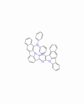 c1ccc(N(c2ccccc2)c2c3ccccc3cc3c4cccc5c6nc7c(nc6n(c23)c45)c2c3ccccc3cc3c4ccccc4n7c32)cc1